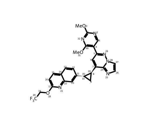 COc1ncc(-c2cc([C@H]3C[C@@H]3c3ccc4ccc(OCC(F)(F)F)nc4c3)c3nccn3n2)c(OC)n1